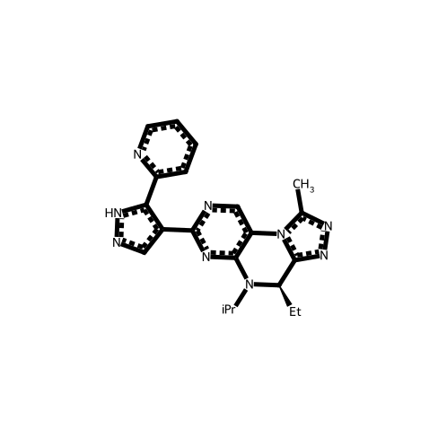 CC[C@@H]1c2nnc(C)n2-c2cnc(-c3cn[nH]c3-c3ccccn3)nc2N1C(C)C